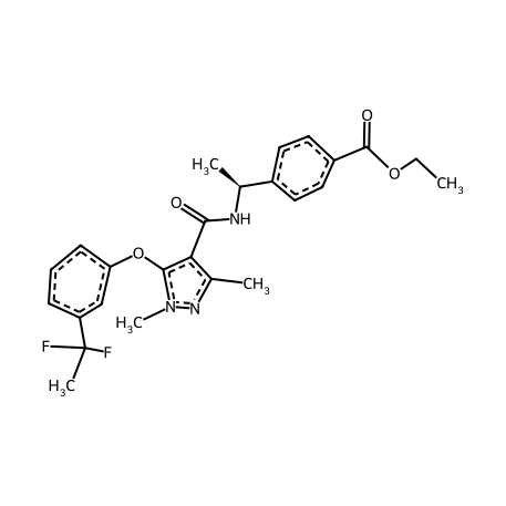 CCOC(=O)c1ccc([C@H](C)NC(=O)c2c(C)nn(C)c2Oc2cccc(C(C)(F)F)c2)cc1